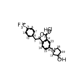 Cl.O=C1OC(Cc2ccc(C(F)(F)F)cc2)c2ccc(N3CC[C@@H](O)C3)cc21